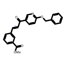 COC(=O)c1cccc(/C=C/C(=O)c2ccc(OCc3ccccc3)nc2)c1